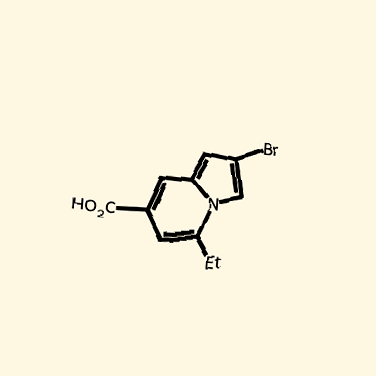 CCc1cc(C(=O)O)cc2cc(Br)cn12